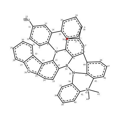 Cc1cc2c3c(c1)N(c1ccc(C(C)(C)C)cc1-c1ccccc1)c1c(ccc4oc5ccccc5c14)B3N1c3ccccc3[Si](C)(C)c3cccc-2c31